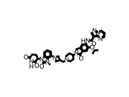 CC(C)Oc1cc2c(cc1NC(=O)c1cnn3cccnc13)CN(C1CCN(CC3CN(c4cccc5c4n(C)c(=O)n5C4CCC(=O)NC4=O)C3)CC1)C2=O